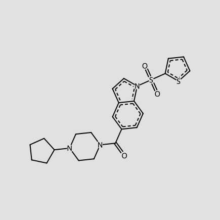 O=C(c1ccc2c(ccn2S(=O)(=O)c2cccs2)c1)N1CCN(C2CCCC2)CC1